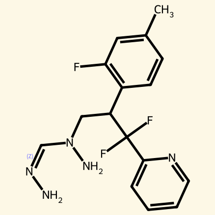 Cc1ccc(C(CN(N)/C=N\N)C(F)(F)c2ccccn2)c(F)c1